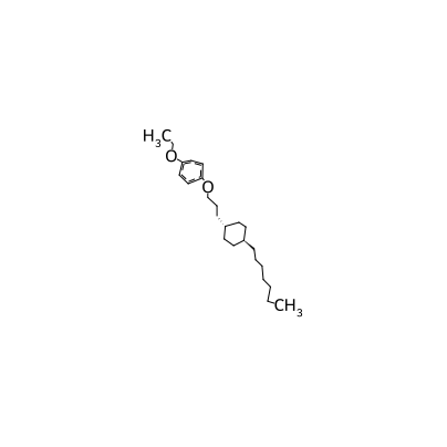 CCCCCCC[C@H]1CC[C@H](CCCOc2ccc(OCC)cc2)CC1